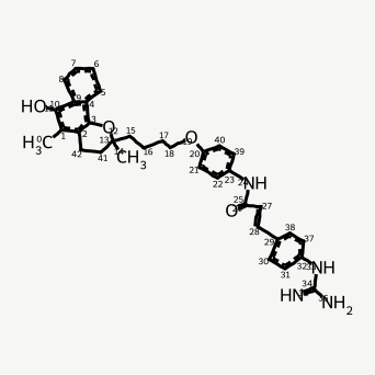 Cc1c2c(c3ccccc3c1O)OC(C)(CCCCOc1ccc(NC(=O)/C=C/c3ccc(NC(=N)N)cc3)cc1)CC2